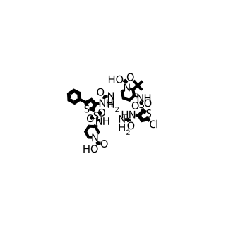 CC(C)(C)C1[C@@H](NS(=O)(=O)c2sc(Cl)cc2NC(N)=O)CCCN1C(=O)O.NC(=O)Nc1cc(-c2ccccc2)sc1S(=O)(=O)N[C@H]1CCCN(C(=O)O)C1